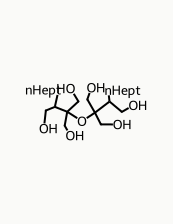 CCCCCCCC(CO)C(CO)(CO)OC(CO)(CO)C(CO)CCCCCCC